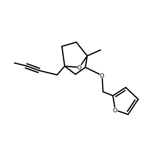 CC#CCC12CCC(C)(O1)C(OCc1ccco1)C2